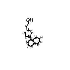 OCCN1CCN(c2nccc3ccccc23)CC1